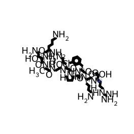 C[C@H](NC(=O)[C@@H](NC(=O)[C@@H](N)CCCCN)[C@@H](O)CN)C(=O)NCC(=O)N[C@H](CCCN)C(=O)N1CCC[C@H]1C(=O)N[C@@H](Cc1cccc(Cl)c1)C(=O)N[C@@H](CCCCN)C(=O)N/C(=C\CCNC(=N)N)C(=O)O